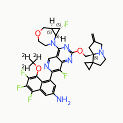 [2H]C([2H])([2H])Oc1c(F)c(F)c(F)c2cc(N)cc(-c3ncc4c(N5CCOC[C@H]6[C@H](F)[C@H]65)nc(OC[C@@]56CC(=C)CN5CCC65CC5)nc4c3F)c12